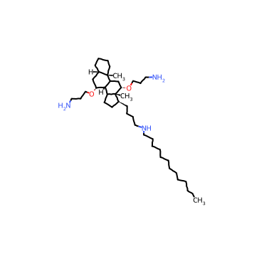 CCCCCCCCCCCCCNCCCC[C@H]1CCC2[C@H]3C(C[C@H](OCCCN)[C@@]21C)[C@@]1(C)CCCC[C@H]1C[C@H]3OCCCN